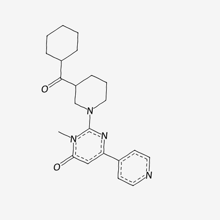 Cn1c(N2CCCC(C(=O)C3CCCCC3)C2)nc(-c2ccncc2)cc1=O